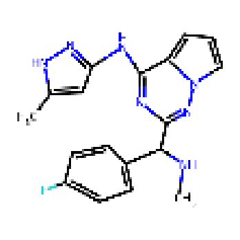 CNC(c1ccc(F)cc1)c1nc(Nc2cc(C)[nH]n2)c2cccn2n1